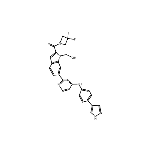 O=C(c1cc2ccc(-c3nccc(Nc4ccc(-c5cn[nH]c5)cc4)n3)cc2n1CO)N1CC(F)(F)C1